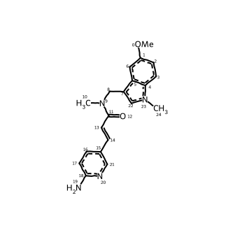 COc1ccc2c(c1)c(CN(C)C(=O)C=Cc1ccc(N)nc1)cn2C